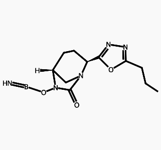 CCCc1nnc([C@@H]2CC[C@@H]3CN2C(=O)N3OB=N)o1